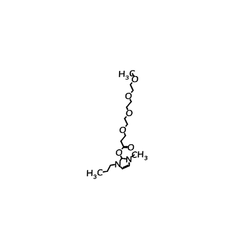 CCCN1C=CN(C)C1OC(=O)CCOCCOCCOCCOC